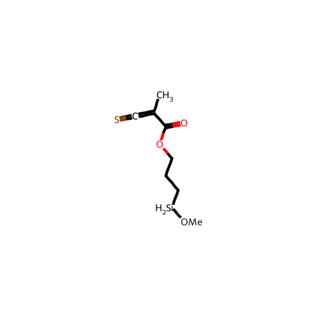 CO[SiH2]CCCOC(=O)C(C)=C=S